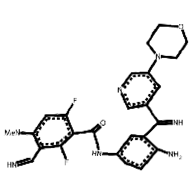 CNc1cc(F)c(C(=O)Nc2ccc(N)c(C(=N)c3cncc(N4CCOCC4)c3)c2)c(F)c1C=N